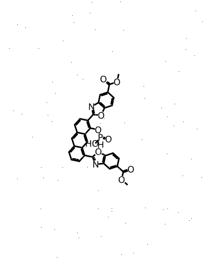 COC(=O)c1ccc2oc(-c3ccc4cc5cccc(-c6nc7cc(C(=O)OC)ccc7o6)c5cc4c3O[PH](=O)O)nc2c1